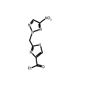 CCC(=O)c1csc(Cn2ncc([N+](=O)[O-])n2)n1